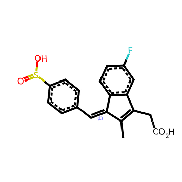 CC1=C(CC(=O)O)c2cc(F)ccc2/C1=C\c1ccc(S(=O)O)cc1